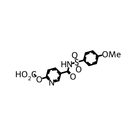 COc1ccc(S(=O)(=O)NC(=O)c2ccc(OC(=O)O)nc2)cc1